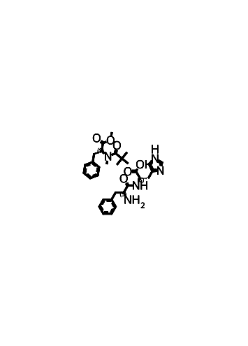 COC(=O)[C@H](Cc1ccccc1)N(C)C(=O)C(C)(C)C.N[C@@H](Cc1ccccc1)C(=O)N[C@@H](Cc1c[nH]cn1)C(=O)O